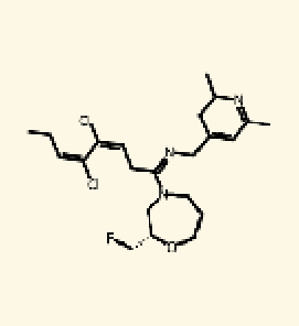 CC/C=C(Cl)\C(Cl)=C/C/C(=N/CC1=CC(C)=NC(C)C1)N1CCCO[C@H](CF)C1